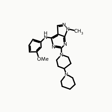 COc1cccc(Nc2nc(N3CCC(N4CCCCC4)CC3)nc3c2cnn3C)c1